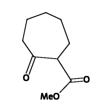 COC(=O)C1CCCCCC1=O